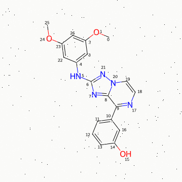 COc1cc(Nc2nc3c(-c4cccc(O)c4)nccn3n2)cc(OC)c1